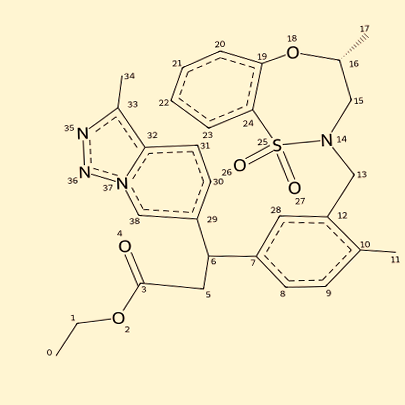 CCOC(=O)CC(c1ccc(C)c(CN2C[C@@H](C)Oc3ccccc3S2(=O)=O)c1)c1ccc2c(C)nnn2c1